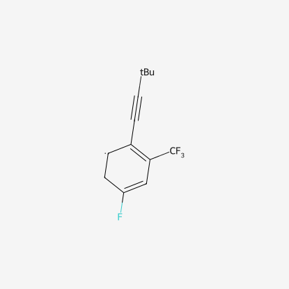 CC(C)(C)C#CC1=C(C(F)(F)F)C=C(F)C[CH]1